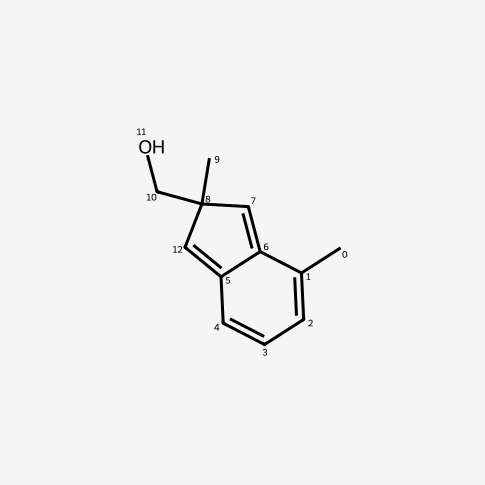 Cc1cccc2c1=CC(C)(CO)C=2